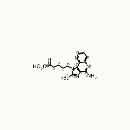 CCCCc1nc2c(N)nc3cccnc3c2n1CCCCNC(=O)O